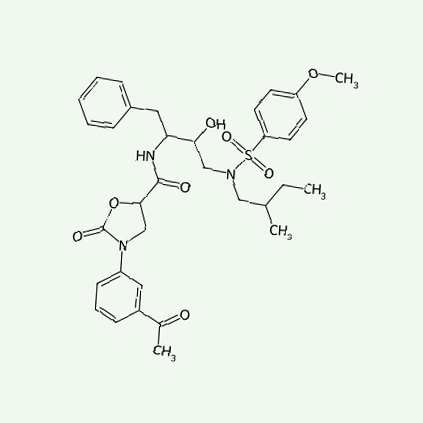 CCC(C)CN(CC(O)C(Cc1ccccc1)NC(=O)C1CN(c2cccc(C(C)=O)c2)C(=O)O1)S(=O)(=O)c1ccc(OC)cc1